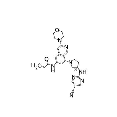 C=CC(=O)Nc1cc(N2CC[C@@H](Nc3ncc(C#N)cn3)C2)c2cnc(N3CCOCC3)cc2c1